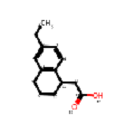 CCc1ccc2c(c1)CCCC2CC(=O)O